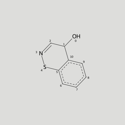 OC1C=NSc2ccccc21